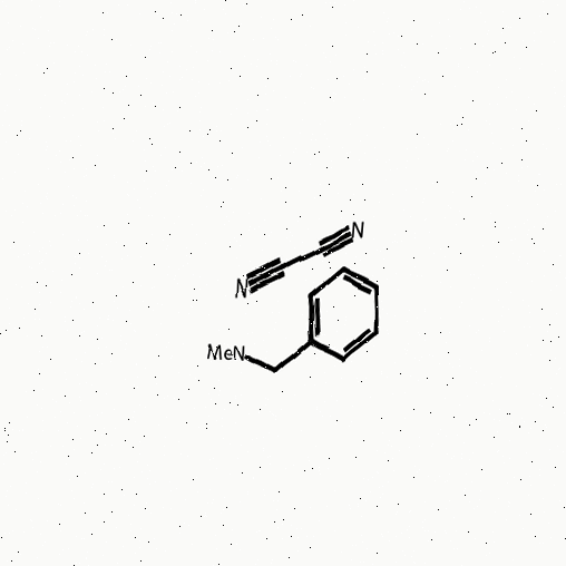 CNCc1ccccc1.N#CC#N